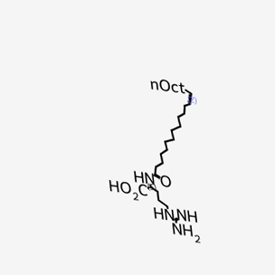 CCCCCCCC/C=C\CCCCCCCCCCCC(=O)N[C@@H](CCCNC(=N)N)C(=O)O